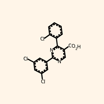 O=C(O)c1cnc(-c2cc(Cl)cc(Cl)c2)nc1-c1ccccc1Cl